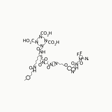 C=NC[C@H]1CC(F)(F)CN1C(=O)CNC(=O)c1ccnc2ccc(OCCCCN3CCN(C(=O)C(C)CN4C(=O)CC(SC(CCCCCNC(=O)CCCc5ccc(C)cc5)CNC(=O)CN5CCN(CC(=O)O)CCN(CC(=O)O)CCN(CC(=O)O)CC5)C4=O)CC3)cc12